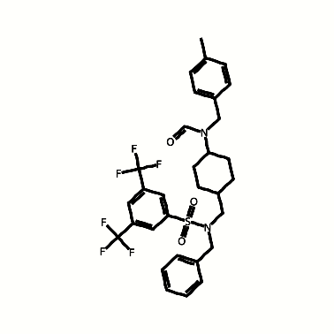 Cc1ccc(CN(C=O)C2CCC(CN(Cc3ccccc3)S(=O)(=O)c3cc(C(F)(F)F)cc(C(F)(F)F)c3)CC2)cc1